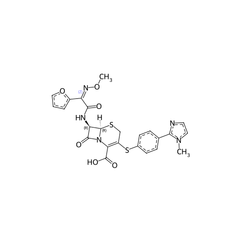 CO/N=C(\C(=O)N[C@@H]1C(=O)N2C(C(=O)O)=C(Sc3ccc(-c4nccn4C)cc3)CS[C@H]12)c1ccco1